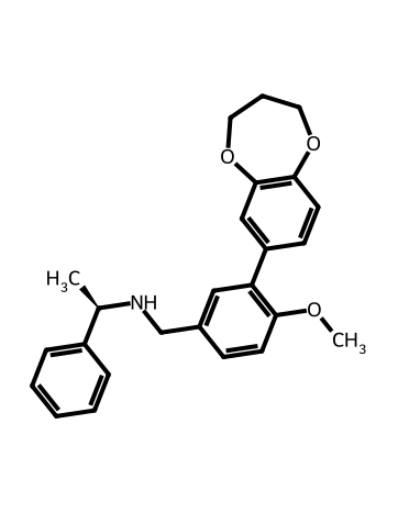 COc1ccc(CN[C@H](C)c2ccccc2)cc1-c1ccc2c(c1)OCCCO2